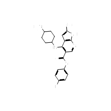 CCC(C)c1cc2c(NC3CCC(N)CC3)c(C(=O)Nc3ccc(F)cc3)cnc2[nH]1